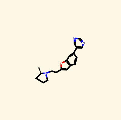 C[C@@H]1CCCN1CCc1cc2ccc(-c3cncnc3)cc2o1